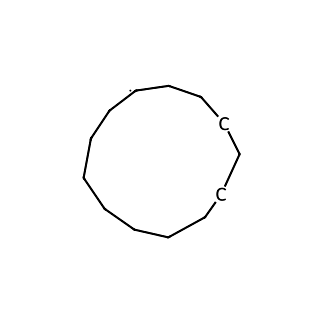 [CH]1CCCCCCCCCCCC1